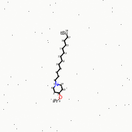 CC(C)OC1CCN(CCCCCCCCCCCCC(C)(C)C)CC1